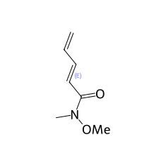 C=C/C=C/C(=O)N(C)OC